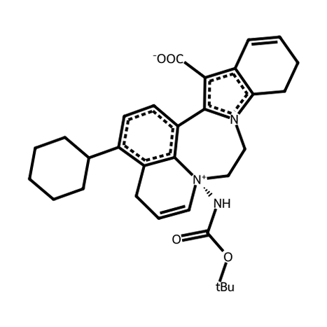 CC(C)(C)OC(=O)N[N@+]12C=CCc3c(C4CCCCC4)ccc(c31)-c1c(C(=O)[O-])c3c(n1CC2)CCC=C3